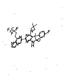 CC1(C)CN(c2nc(-c3cn4ccnc4c(CCC(F)(F)C(F)(F)F)n3)nc3c2C(C)(c2ccc(F)cc2)C(=O)N3)C1